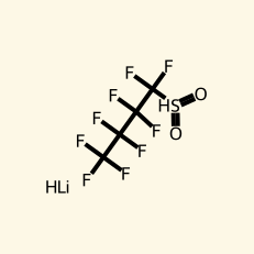 O=[SH](=O)C(F)(F)C(F)(F)C(F)(F)C(F)(F)F.[LiH]